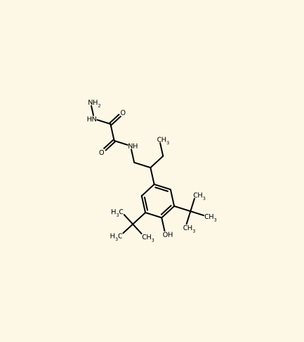 CCC(CNC(=O)C(=O)NN)c1cc(C(C)(C)C)c(O)c(C(C)(C)C)c1